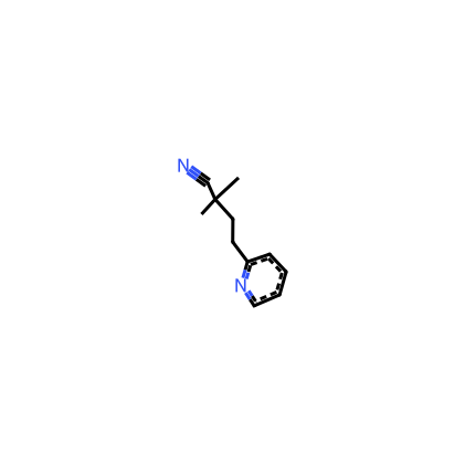 CC(C)(C#N)CCc1ccccn1